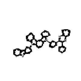 c1ccc(-c2nc3ccccc3nc2-c2cccc(-n3c4ccccc4c4c5c6ccccc6n(-c6ccc7oc8ccccc8c7c6)c5ccc43)c2)cc1